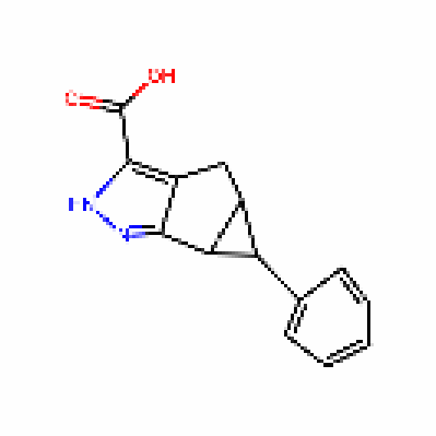 O=C(O)c1[nH]nc2c1CC1C(c3ccccc3)C21